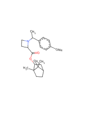 COc1ccc(C(C)N2CCC2C(=O)OC2CC3CCC2(C)C3(C)C)cc1